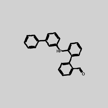 O=Cc1ccccc1-c1ccccc1Pc1cccc(-c2ccccc2)c1